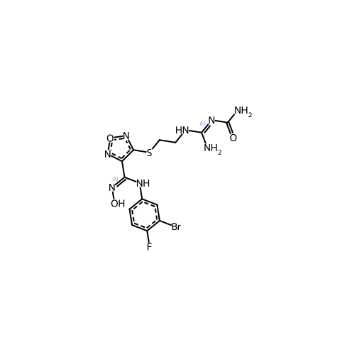 NC(=O)/N=C(\N)NCCSc1nonc1/C(=N/O)Nc1ccc(F)c(Br)c1